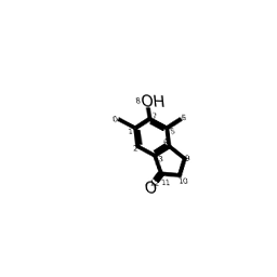 Cc1cc2c(c(C)c1O)CCC2=O